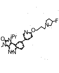 CC(C)n1c(=O)n(C)c2nnc3ccc(-c4ccc(OCCCN5CCC(F)C5)nc4)cc3c21